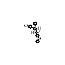 O=C(Nc1ccc(Oc2ccccc2)cc1)N1CC(c2ccc(Cl)cc2)=C(c2ccccc2)N1